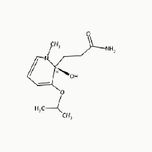 CC(C)OC1=CC=CN(C)[C@]1(O)CCC(N)=O